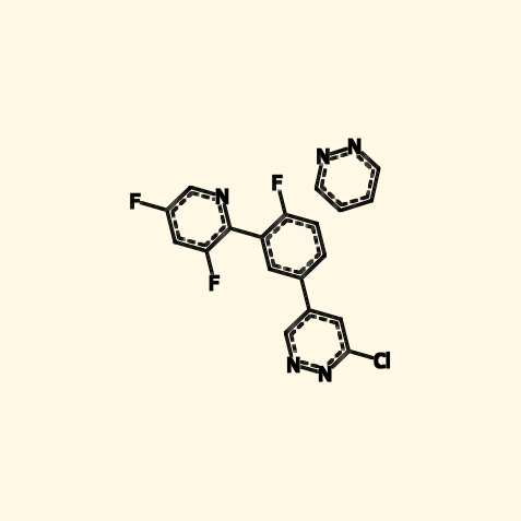 Fc1cnc(-c2cc(-c3cnnc(Cl)c3)ccc2F)c(F)c1.c1ccnnc1